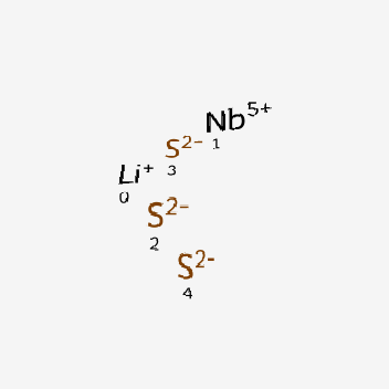 [Li+].[Nb+5].[S-2].[S-2].[S-2]